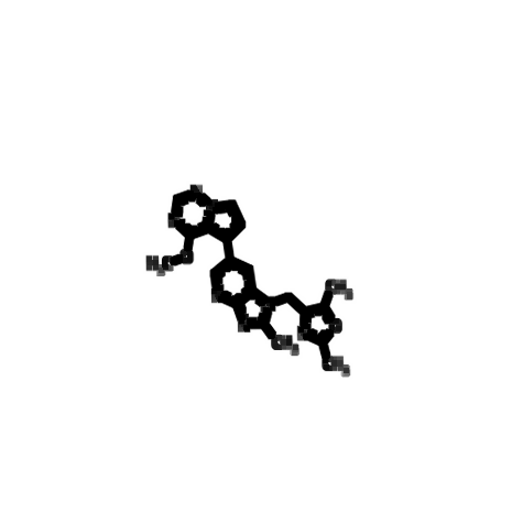 COc1ncnn2ccc(-c3cnc4nc(C)n(Cc5nc(C)oc5C)c4c3)c12